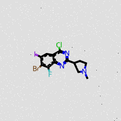 CN1CCC(c2nc(Cl)c3cc(I)c(Br)c(F)c3n2)C1